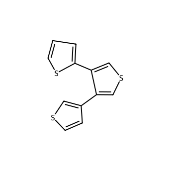 c1csc(-c2cscc2-c2ccsc2)c1